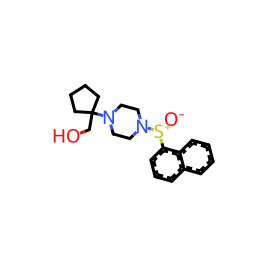 [O-][S+](c1cccc2ccccc12)N1CCN(C2(CO)CCCC2)CC1